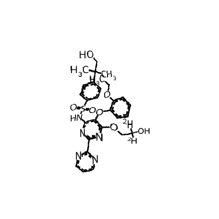 [2H]C([2H])(O)COc1nc(-c2ncccn2)nc(NS(=O)(=O)c2ccc(C(C)(C)CO)cc2)c1Oc1ccccc1OCC